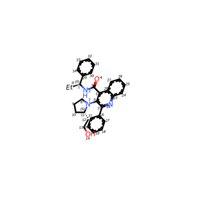 CC[C@H](NC(=O)c1c(N2CCC[C@H]2CCO)c(-c2ccccc2)nc2ccccc12)c1ccccc1